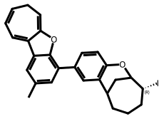 Cc1cc(-c2ccc3c(c2)C2CCC[C@@H](I)C(C2)O3)c2oc3c(c2c1)=CC=CCC=3